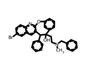 CN(CCC1(O)c2cccc(c2)Oc2nc3ccc(Br)cc3cc2C1c1ccccc1)Cc1ccccc1